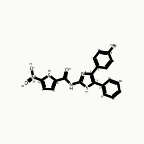 O=C(Nc1nc(-c2ccc(Br)cc2)c(-c2ccccc2)s1)c1ccc([N+](=O)[O-])s1